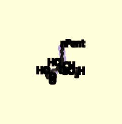 CCCCC/C=C/C=C/C=C/C(O)C(C)C(C/C=C/C1OC(=O)C=CC1O)OS(=O)(=O)O